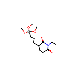 CCN1C(=O)CCC(CCC[Si](OC)(OC)OC)C1=O